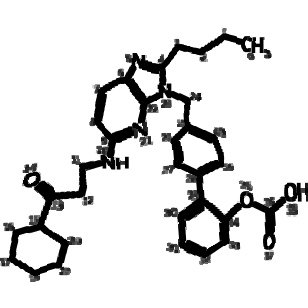 CCCCc1nc2ccc(NCCC(=O)C3CCCCC3)nc2n1Cc1ccc(-c2ccccc2OC(=O)O)cc1